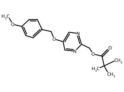 COc1ccc(COc2cnc(COC(=O)C(C)(C)C)nc2)cc1